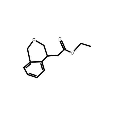 CCOC(=O)CC1COCc2ccccc21